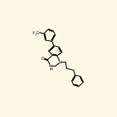 O=C1NCN(CCCc2ccccc2)c2ccc(-c3cccc(C(F)(F)F)c3)cc21